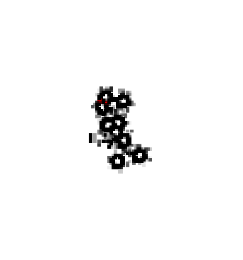 C[Si]1(C)c2cc(N(c3ccccc3)c3ccccc3)ccc2-c2ccc(N(c3ccccc3)c3ccccc3-c3ccccc3)c3cccc1c23